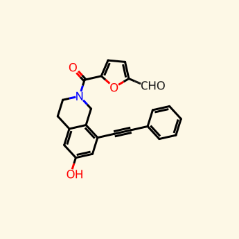 O=Cc1ccc(C(=O)N2CCc3cc(O)cc(C#Cc4ccccc4)c3C2)o1